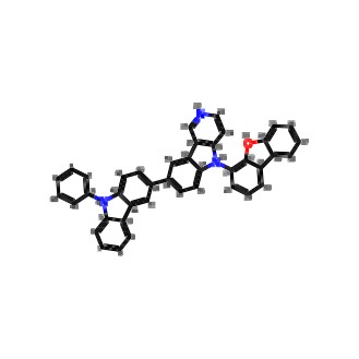 c1ccc(-n2c3ccccc3c3cc(-c4ccc5c(c4)c4cnccc4n5-c4cccc5c4oc4ccccc45)ccc32)cc1